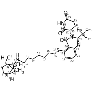 CC1(C)[C@@H]2CC[C@@]1(C)[C@@H](NCCCCCCCSc1cccc3nc(C(F)(F)F)n([C@H]4CCC(=O)NC4=O)c(=O)c13)C2